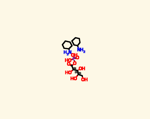 NC1CCCCC1.NC1CCCCC1.O=C(OP(=O)(O)O)[C@H](O)[C@H](O)[C@H](O)CO